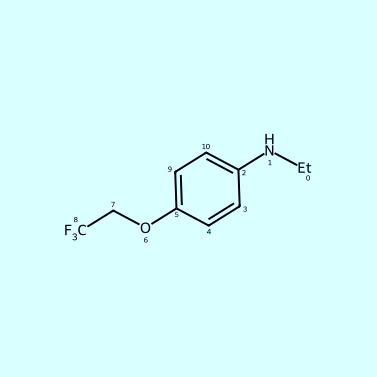 [CH2]CNc1ccc(OCC(F)(F)F)cc1